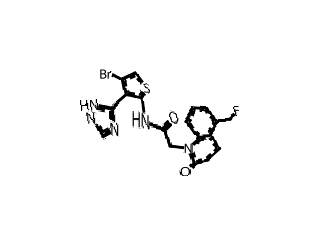 O=C(Cn1c(=O)ccc2c(CF)cccc21)Nc1scc(Br)c1-c1ncn[nH]1